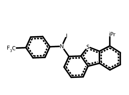 CC(C)c1cccc2c1sc1c(N(I)c3ccc(C(F)(F)F)cc3)cccc12